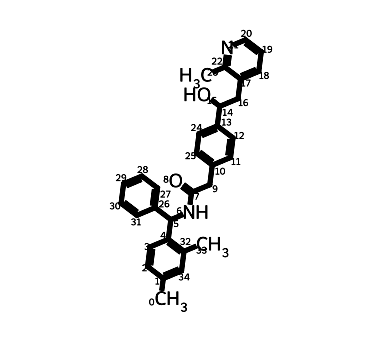 Cc1ccc(C(NC(=O)Cc2ccc(C(O)Cc3cccnc3C)cc2)c2ccccc2)c(C)c1